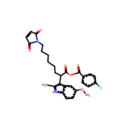 COc1ccc2[nH]c(C)c(C(CCCCCCN3C(=O)C=CC3=O)C(=O)OC(=O)c3ccc(Cl)cc3)c2c1